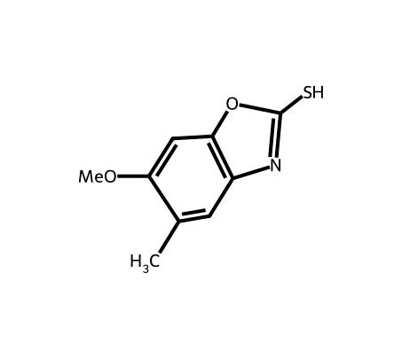 COc1cc2oc(S)nc2cc1C